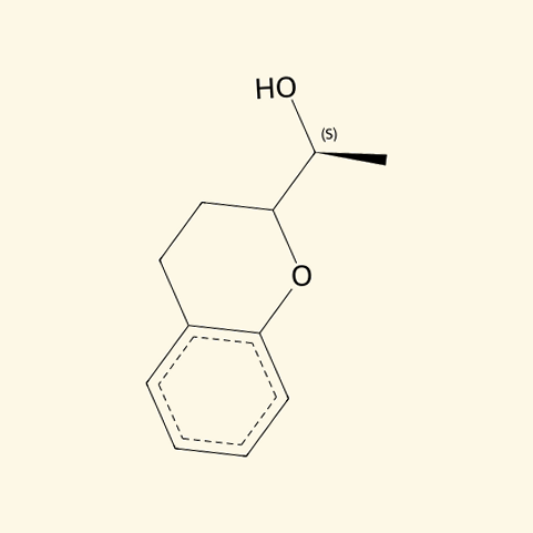 C[C@H](O)C1CCc2ccccc2O1